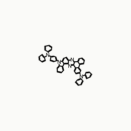 c1ccc(N(c2ccccc2)c2ccc(-n3c4ccccc4c4c5nc6c7ccc(N(c8ccccc8)c8ccccc8)cc7c7ccccc7c6nc5ccc43)cc2)cc1